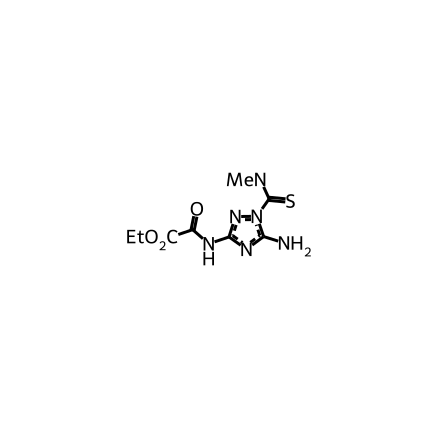 CCOC(=O)C(=O)Nc1nc(N)n(C(=S)NC)n1